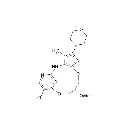 COC1COc2nc(ncc2Cl)Nc2c(nn(C3CCOCC3)c2C)OC1